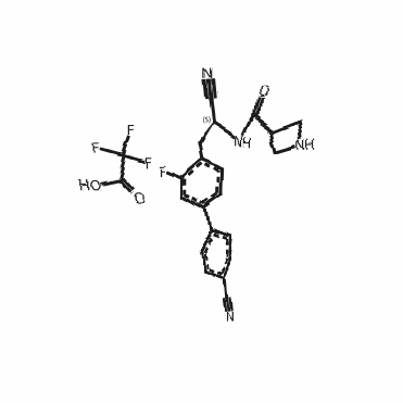 N#Cc1ccc(-c2ccc(C[C@@H](C#N)NC(=O)C3CNC3)c(F)c2)cc1.O=C(O)C(F)(F)F